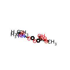 CCOC(=O)C[C@H]1OB(O)c2cc(Oc3cccc(OCCCNC(=O)OC(C)(C)C)c3)ccc21